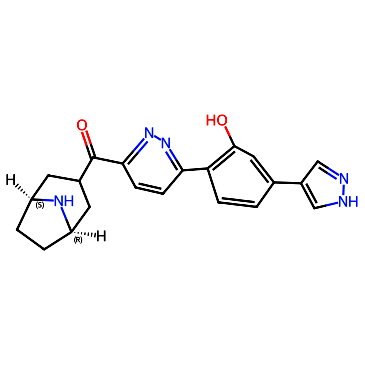 O=C(c1ccc(-c2ccc(-c3cn[nH]c3)cc2O)nn1)C1C[C@H]2CC[C@@H](C1)N2